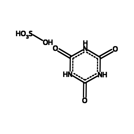 O=S(=O)(O)O.O=c1[nH]c(=O)[nH]c(=O)[nH]1